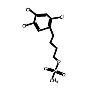 CS(=O)(=O)OCCCCc1cc(Cl)c(Cl)cc1Cl